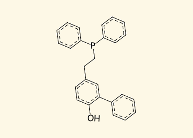 Oc1ccc(CCP(c2ccccc2)c2ccccc2)cc1-c1ccccc1